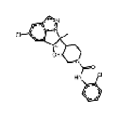 CC1(C2CCN(C(=O)Nc3ccccc3Cl)CC2)[C@@H](O)c2cc(Cl)cc3cnn1c23